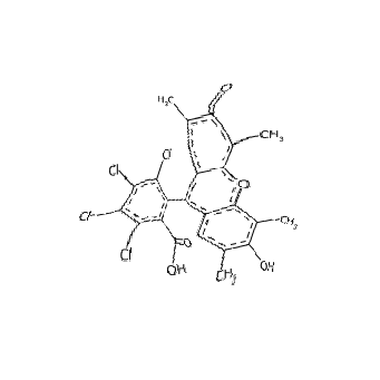 Cc1cc2c(-c3c(Cl)c(Cl)c(Cl)c(Cl)c3C(=O)O)c3cc(C)c(=O)c(C)c-3oc2c(C)c1O